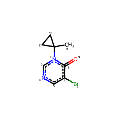 CC1(n2cncc(Br)c2=O)CC1